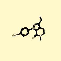 COc1ccc(-n2nc(CI)c3c2C(=O)N(C)CC3)cc1